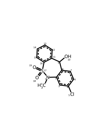 CN1c2cc(Cl)ccc2C(O)c2ccccc2S1(=O)=O